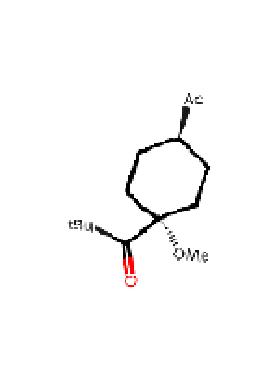 CO[C@]1(C(=O)C(C)(C)C)CC[C@@H](C(C)=O)CC1